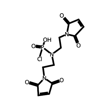 O=C1C=CC(=O)N1CCN(CCN1C(=O)C=CC1=O)P(=O)(O)Cl